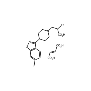 CCC(CN1CCC(c2noc3cc(F)ccc23)CC1)C(=O)O.O=C(O)C=CC(=O)O